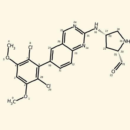 COc1cc(OC)c(Cl)c(-c2ccc3nc(N[C@@H]4CN[C@H](C=O)C4)ncc3c2)c1Cl